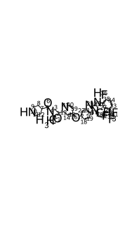 COC(CNC(=O)C1CCNCC1)c1cc(Oc2ccc3c(c2)nc(Nc2cc(C(F)(F)F)ccc2F)n3C)ccn1